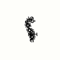 COC(=O)C1(C)CC(Oc2ccc(-c3ccc(-c4nc5cc(Cl)ccc5[nH]4)c(F)c3)cn2)C1